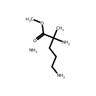 COC(=O)C(C)(N)CCCN.N